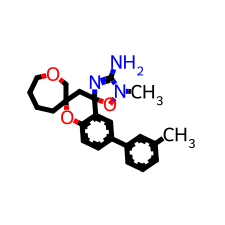 Cc1cccc(-c2ccc3c(c2)C2(CC4(CCCCOC4)O3)N=C(N)N(C)O2)c1